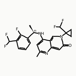 Cc1cc(N[C@H](C)c2cccc(C(F)F)c2F)c2cn(C3(C(F)F)CC3)c(=O)cc2n1